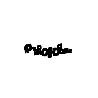 COc1ccc(S(=O)(=O)c2ccc(NC(=O)C=Cc3cccnc3)cc2)cc1Cl